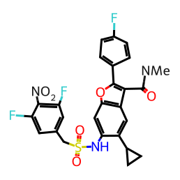 CNC(=O)c1c(-c2ccc(F)cc2)oc2cc(NS(=O)(=O)Cc3cc(F)c([N+](=O)[O-])c(F)c3)c(C3CC3)cc12